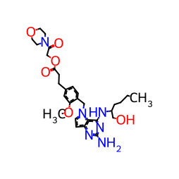 CCCCC(CO)Nc1nc(N)nc2ccn(Cc3ccc(CCC(=O)OCC(=O)N4CCOCC4)cc3OC)c12